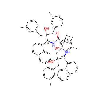 Cc1cccc(CC(O)(Cc2cccc(C)c2)[C@@H](NC(=O)C2(C(=O)N[C@@H](c3cccc4ccccc34)C(O)(Cc3cccc(C)c3)Cc3cccc(C)c3)CCC2)c2cccc3ccccc23)c1